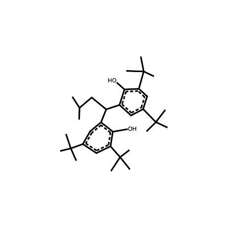 CC(C)CC(c1cc(C(C)(C)C)cc(C(C)(C)C)c1O)c1cc(C(C)(C)C)cc(C(C)(C)C)c1O